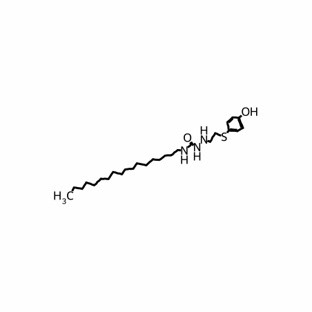 CCCCCCCCCCCCCCCCCCNC(=O)NNCCSc1ccc(O)cc1